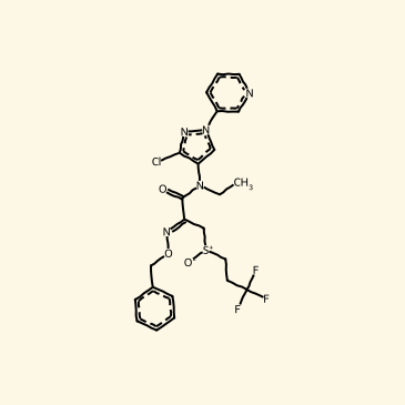 CCN(C(=O)C(C[S+]([O-])CCC(F)(F)F)=NOCc1ccccc1)c1cn(-c2cccnc2)nc1Cl